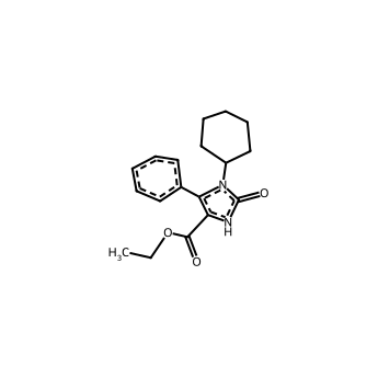 CCOC(=O)c1[nH]c(=O)n(C2CCCCC2)c1-c1ccccc1